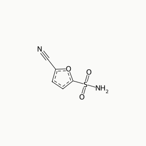 N#Cc1ccc(S(N)(=O)=O)o1